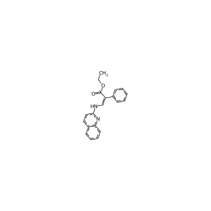 CCOC(=O)/C(=C\Nc1ccc2ccccc2n1)c1ccccc1